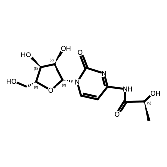 C[C@H](O)C(=O)Nc1ccn([C@@H]2O[C@H](CO)[C@@H](O)[C@H]2O)c(=O)n1